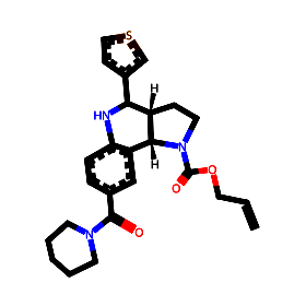 C=CCOC(=O)N1CC[C@H]2C(c3ccsc3)Nc3ccc(C(=O)N4CCCCC4)cc3[C@H]21